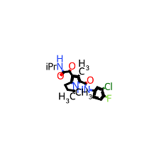 Cc1c(C(=O)C(=O)NC(C)C)c2n(c1C(=O)Nc1ccc(F)c(Cl)c1)C(C)(C)CC2